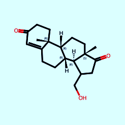 C[C@]12CCC(=O)C=C1CC[C@@H]1[C@H]2CC[C@]2(C)C(=O)CC(CO)[C@@H]12